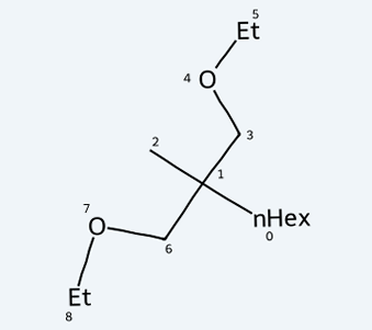 CCCCCCC(C)(COCC)COCC